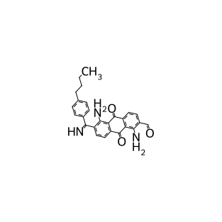 CCCCc1ccc(C(=N)c2ccc3c(c2N)C(=O)c2ccc(C=O)c(N)c2C3=O)cc1